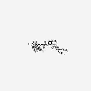 CCCCC(CC)CNC(=O)Nc1cc(NC(=O)NCCC[Si](C)(O[Si](C)(C)C)O[Si](C)(C)C)ccc1C